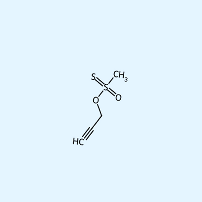 C#CCOS(C)(=O)=S